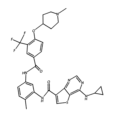 Cc1ccc(NC(=O)c2ccc(OC3CCN(C)CC3)c(C(F)(F)F)c2)cc1NC(=O)c1csc2c(NC3CC3)ncnc12